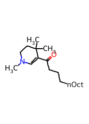 CCCCCCCCCCCC(=O)C1=CN(C)CCC1(C)C